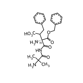 CC(C)(N)C(=O)NC(=O)[C@](N)(C(=O)OCc1ccccc1)C(Cc1ccccc1)C(=O)O